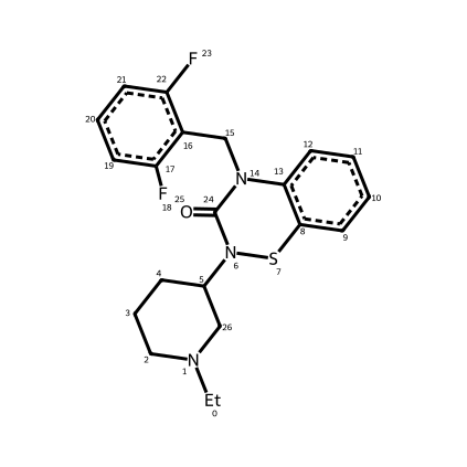 CCN1CCCC(N2Sc3ccccc3N(Cc3c(F)cccc3F)C2=O)C1